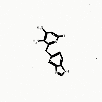 Nc1cc(Cl)nc(Cc2ccc3[nH]cnc3c2)c1N